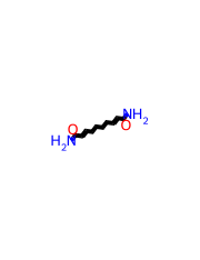 NC(=O)C=CCCCCC=CC(N)=O